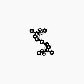 O=C(Oc1ccccc1)c1cc(-c2ccccc2)c2ccc3ccc(-c4ccc(-c5ccc6ccc7c(-c8ccccc8)cc(C(=O)Oc8ccccc8)nc7c6n5)cc4)nc3c2n1